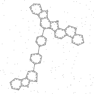 c1ccc2c(c1)ccc1c2ccc2c1nc1c3sc4ccccc4c3cc(-c3ccc(-c4ccc(-c5ccc6sc7ccccc7c6c5)cc4)cc3)n21